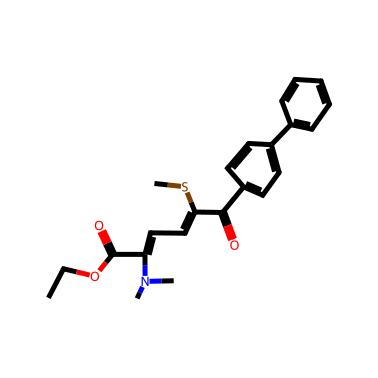 CCOC(=O)C(=CC=C(SC)C(=O)c1ccc(-c2ccccc2)cc1)N(C)C